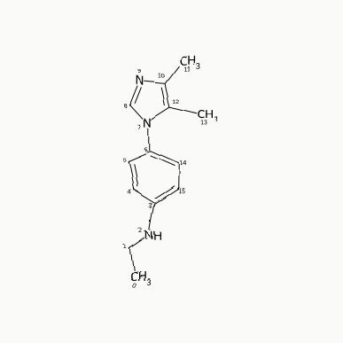 CCNc1ccc(-n2cnc(C)c2C)cc1